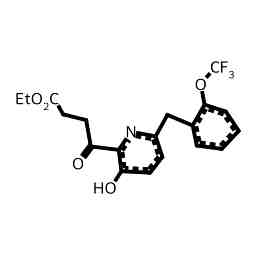 CCOC(=O)CCC(=O)c1nc(Cc2ccccc2OC(F)(F)F)ccc1O